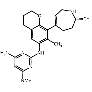 CNc1cc(C)nc(Nc2cc3c(c(C4=CCN[C@@H](C)CC4)c2C)OCCC3)n1